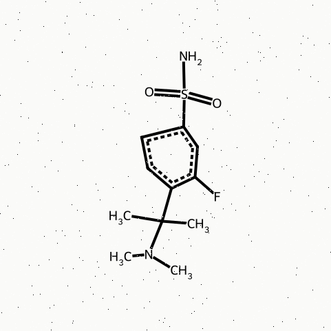 CN(C)C(C)(C)c1ccc(S(N)(=O)=O)cc1F